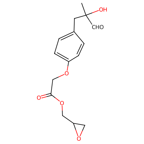 CC(O)(C=O)Cc1ccc(OCC(=O)OCC2CO2)cc1